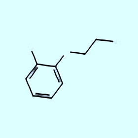 CC(C)CCOc1ccccc1[C]=O